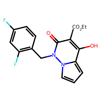 CCOC(=O)c1c(O)c2cccn2n(Cc2ccc(F)cc2F)c1=O